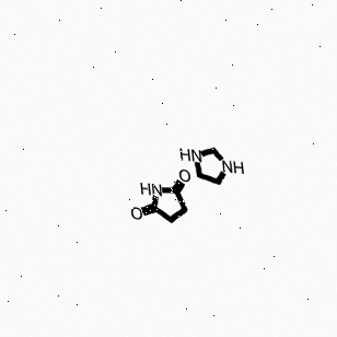 C1CNCN1.O=C1CCC(=O)N1